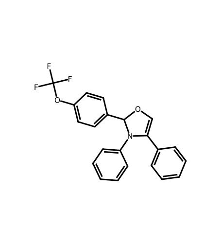 FC(F)(F)Oc1ccc(C2OC=C(c3ccccc3)N2c2ccccc2)cc1